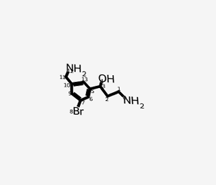 NCCC(O)c1cc(Br)cc(CN)c1